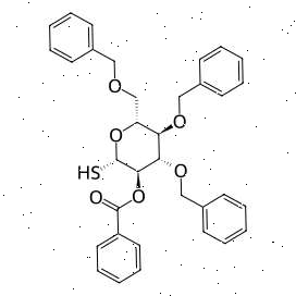 O=C(O[C@@H]1[C@@H](OCc2ccccc2)[C@H](OCc2ccccc2)[C@@H](COCc2ccccc2)O[C@H]1S)c1ccccc1